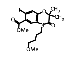 COCCCCN1C(=O)C(C)(C)Oc2cc(I)c(C(=O)OC)cc21